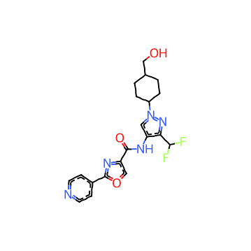 O=C(Nc1cn(C2CCC(CO)CC2)nc1C(F)F)c1coc(-c2ccncc2)n1